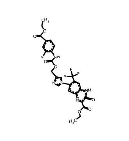 CCOC(=O)c1ccc(NC(=O)OCc2cn(-c3cc4nc(C(=O)OCC)c(=O)[nH]c4cc3C(F)(F)F)cn2)c(F)c1